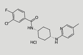 Cc1ccc(N[C@H]2CC[C@@H](NC(=O)c3ccc(F)c(Cl)c3)CC2)nc1.Cl